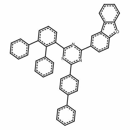 c1ccc(-c2ccc(-c3nc(-c4ccc5oc6ccccc6c5c4)nc(-c4cccc(-c5ccccc5)c4-c4ccccc4)n3)cc2)cc1